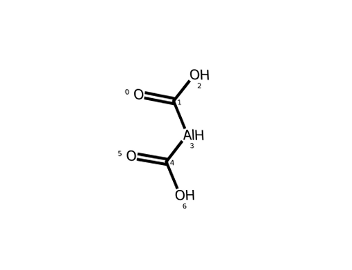 O=[C](O)[AlH][C](=O)O